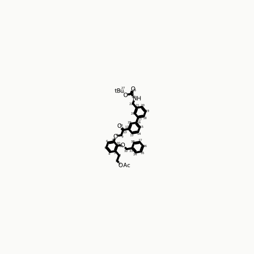 CC(=O)OCCc1cccc(OCC(=O)c2cccc(-c3cccc(CNC(=O)OC(C)(C)C)c3)c2)c1OCc1ccccc1